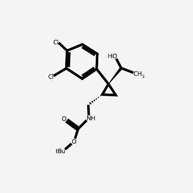 CC(O)[C@@]1(c2ccc(Cl)c(Cl)c2)C[C@@H]1CNC(=O)OC(C)(C)C